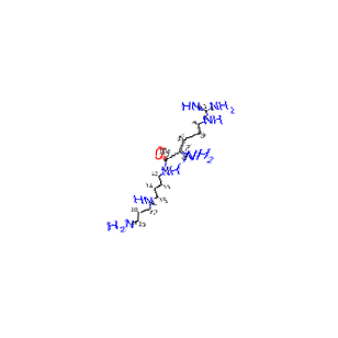 N=C(N)NCCCC(N)C(=O)NCCCCNCCCN